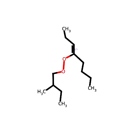 CC/C=C(/CCCC)OOCC(C)CC